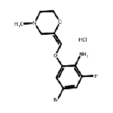 CN1CCOC(=COc2cc(Br)cc(Br)c2N)C1.Cl